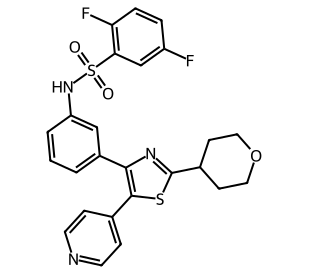 O=S(=O)(Nc1cccc(-c2nc(C3CCOCC3)sc2-c2ccncc2)c1)c1cc(F)ccc1F